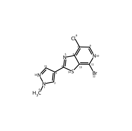 Cn1cc(-c2nc3c(Cl)cnc(Br)c3s2)cn1